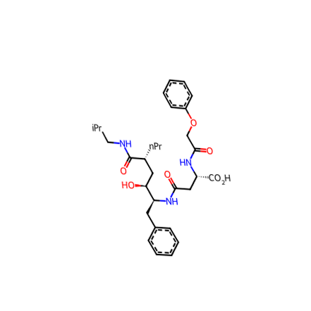 CCC[C@H](C[C@H](O)[C@H](Cc1ccccc1)NC(=O)C[C@H](NC(=O)COc1ccccc1)C(=O)O)C(=O)NCC(C)C